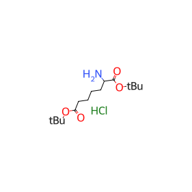 CC(C)(C)OC(=O)CCCCC(N)C(=O)OC(C)(C)C.Cl